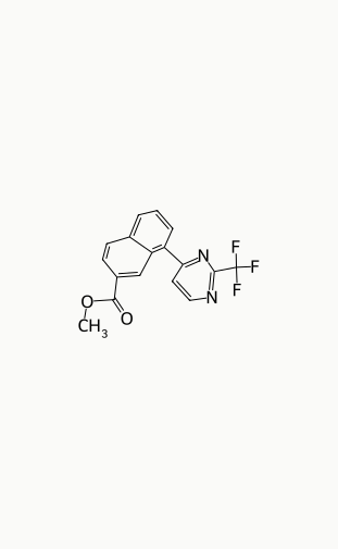 COC(=O)c1ccc2cccc(-c3ccnc(C(F)(F)F)n3)c2c1